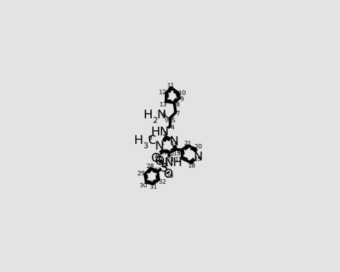 Cn1c(NC[C@H](N)Cc2ccccc2)nc(-c2ccncc2)c(NS(=O)(=O)c2ccccc2)c1=O